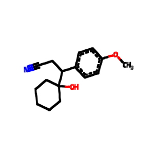 COc1ccc(C(CC#N)C2(O)CCCCC2)cc1